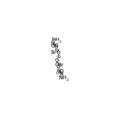 Cc1c(COc2ccc(CN3CCCC[C@H]3C(=O)N(C)CCN)cc2Br)cccc1-c1cccc(COc2ccc(CN3CCCC[C@H]3C(=O)N(C)CCN)cc2Br)c1C